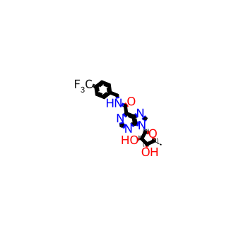 C[C@H]1O[C@@H](n2cnc3c(C(=O)NCc4ccc(C(F)(F)F)cc4)ncnc32)[C@H](O)[C@@H]1O